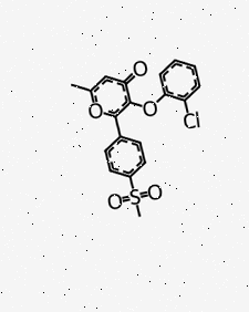 Cc1cc(=O)c(Oc2ccccc2Cl)c(-c2ccc(S(C)(=O)=O)cc2)o1